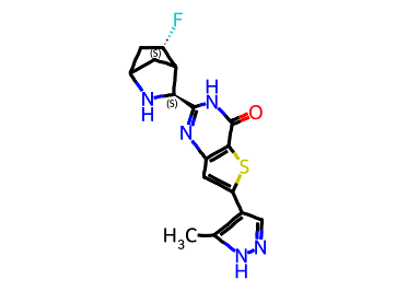 Cc1[nH]ncc1-c1cc2nc([C@H]3NC4CC3[C@@H](F)C4)[nH]c(=O)c2s1